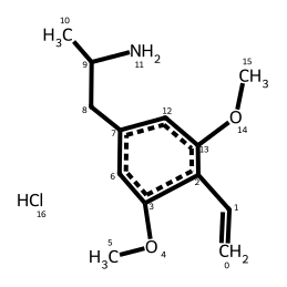 C=Cc1c(OC)cc(CC(C)N)cc1OC.Cl